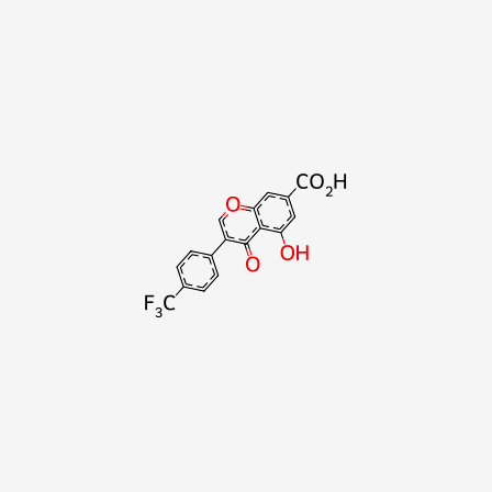 O=C(O)c1cc(O)c2c(=O)c(-c3ccc(C(F)(F)F)cc3)coc2c1